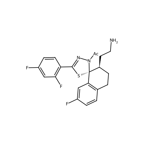 CC(=O)N1N=C(c2ccc(F)cc2F)S[C@]12c1cc(F)ccc1CC[C@@H]2CCN